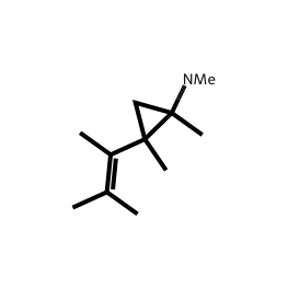 CNC1(C)CC1(C)C(C)=C(C)C